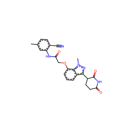 Cc1ccc(C#N)c(NC(=O)COc2cccc3c(C4CCC(=O)NC4=O)nn(C)c23)c1